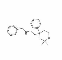 CC1(C)CC(CCNCc2ccccc2)(c2ccccc2)CCO1